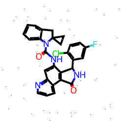 O=C1NC(c2cc(F)ccc2Cl)c2c(NC(=O)N3c4ccccc4CC34CC4)cc3ncccc3c21